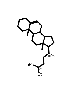 CC[C@H](CC[C@@H](C)C1CCC2C3CC=C4CCCCC4(C)C3CCC21C)C(C)C